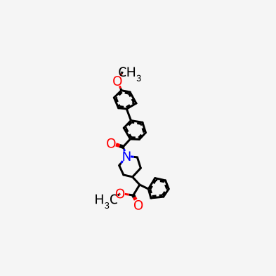 COC(=O)C(c1ccccc1)C1CCN(C(=O)c2cccc(-c3ccc(OC)cc3)c2)CC1